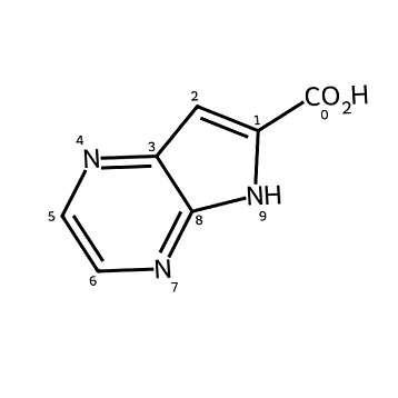 O=C(O)c1cc2nccnc2[nH]1